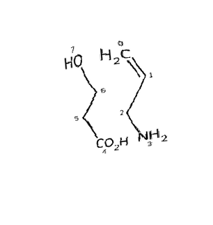 C=CCN.O=C(O)CCO